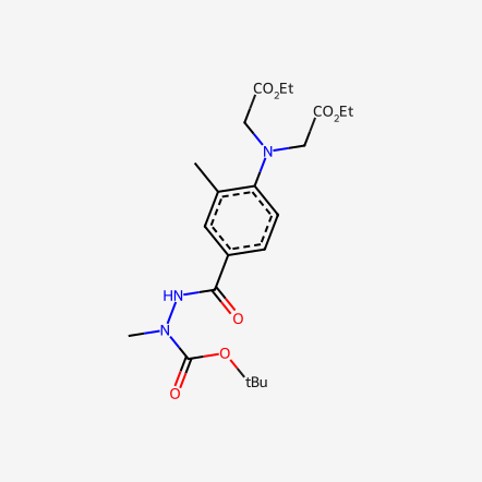 CCOC(=O)CN(CC(=O)OCC)c1ccc(C(=O)NN(C)C(=O)OC(C)(C)C)cc1C